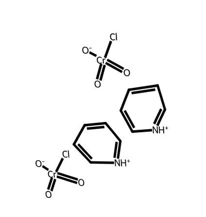 [O]=[Cr](=[O])([O-])[Cl].[O]=[Cr](=[O])([O-])[Cl].c1cc[nH+]cc1.c1cc[nH+]cc1